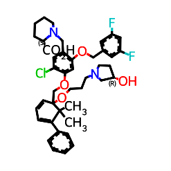 CC1(C)C(c2ccccc2)=CC=CC1(COc1cc(OCc2cc(F)cc(F)c2)c(CN2CCCC[C@H]2C(=O)O)cc1Cl)OCCCN1CC[C@@H](O)C1